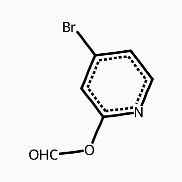 O=COc1cc(Br)ccn1